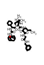 C=CCCC(NC(=O)[C@@H]1[C@@H]2[C@H](CN1C(=O)[C@@H](NC(=O)NC13CC4CC(CC(C4)C1)C3)C1CCCCC1)C2(C)C)C(=O)C(=O)NCC(=O)NCc1ccccc1